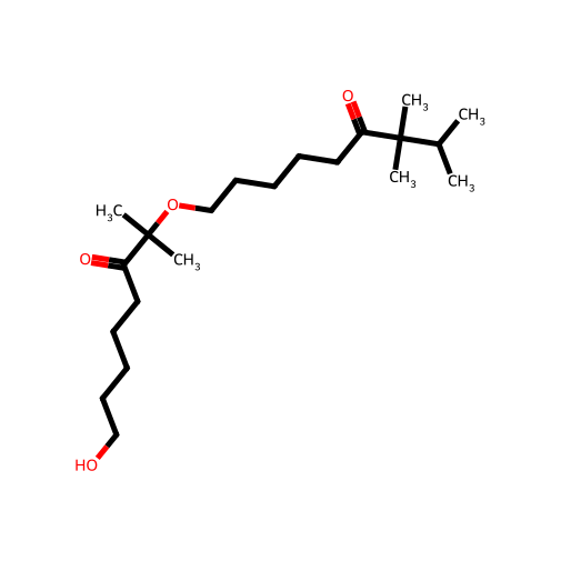 CC(C)C(C)(C)C(=O)CCCCCOC(C)(C)C(=O)CCCCCO